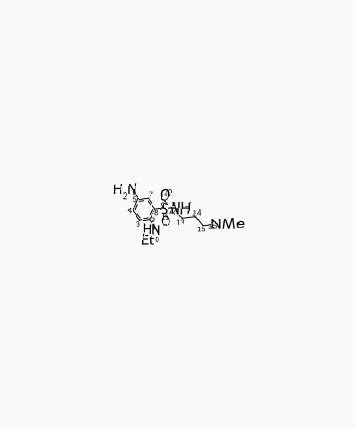 CCNc1ccc(N)cc1S(=O)(=O)NCCCNC